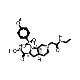 CCNC(=O)CN1CC[C@H]2C[C@@H](C(=O)NO)N(S(=O)(=O)c3ccc(OC)cc3)[C@H]2C1